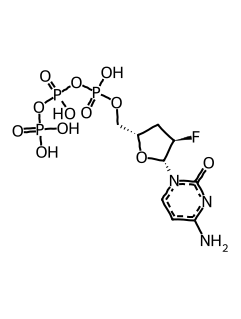 Nc1ccn([C@@H]2O[C@H](COP(=O)(O)OP(=O)(O)OP(=O)(O)O)C[C@H]2F)c(=O)n1